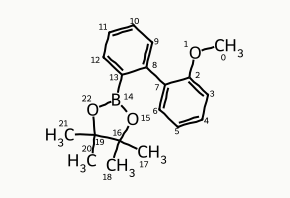 COc1ccccc1-c1ccccc1B1OC(C)(C)C(C)(C)O1